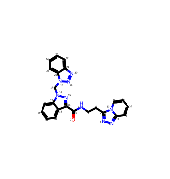 O=C(NCCc1nnc2ccccn12)c1nn(Cn2nnc3ccccc32)c2ccccc12